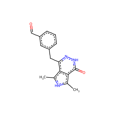 Cc1[nH]c(C)c2c(=O)[nH]nc(Cc3cccc(C=O)c3)c12